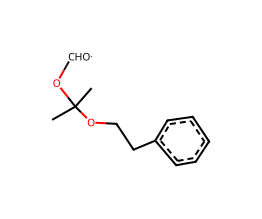 CC(C)(O[C]=O)OCCc1ccccc1